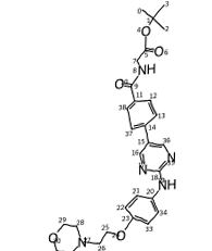 CC(C)(C)OC(=O)CNC(=O)c1ccc(-c2cnc(Nc3ccc(OCCN4CCOCC4)cc3)nc2)cc1